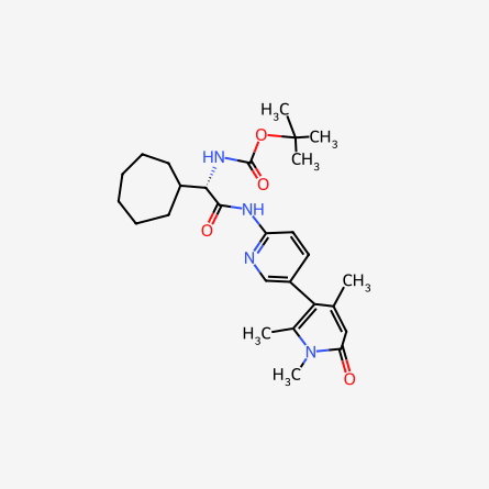 Cc1cc(=O)n(C)c(C)c1-c1ccc(NC(=O)[C@@H](NC(=O)OC(C)(C)C)C2CCCCCC2)nc1